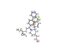 CC(C)CC[C@@H](c1ccc(-c2ccncc2)cc1)N1CC[C@H](CC=O)C[C@@H]1C1C=CC(C(F)(F)F)=CC1